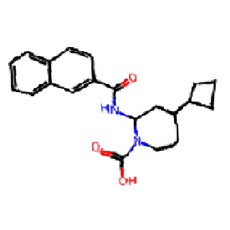 O=C(NC1CC(C2CCC2)CCN1C(=O)O)c1ccc2ccccc2c1